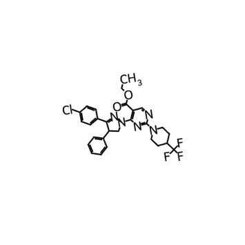 CCOC(=O)c1cnc(N2CCC(C(F)(F)F)CC2)nc1N1CC(c2ccccc2)C(c2ccc(Cl)cc2)=N1